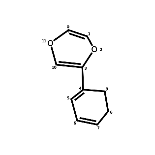 [C]1=COC(C2=CC=CCC2)=CO1